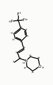 CC(C=Cc1ccc(C(F)(F)F)cc1)N1CCOCC1